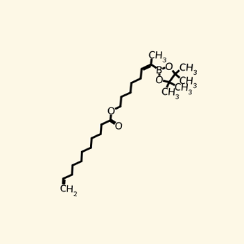 C=CCCCCCCCCC(=O)OCCCCC/C=C(/C)B1OC(C)(C)C(C)(C)O1